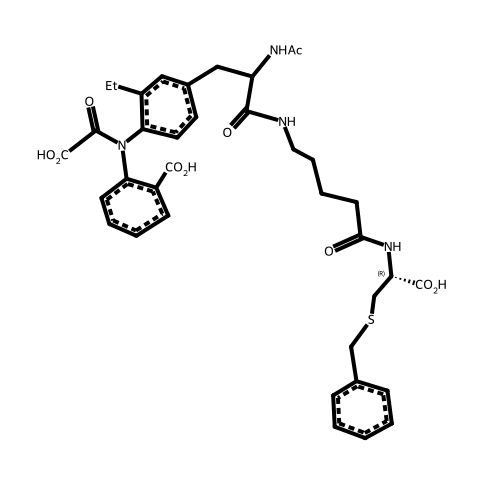 CCc1cc(CC(NC(C)=O)C(=O)NCCCCC(=O)N[C@@H](CSCc2ccccc2)C(=O)O)ccc1N(C(=O)C(=O)O)c1ccccc1C(=O)O